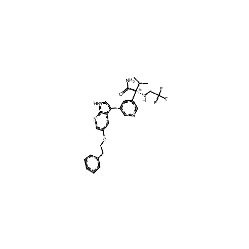 CC(C)[C@](NCC(F)(F)F)(C(N)=O)c1cncc(-c2c[nH]c3ncc(OCCc4ccccc4)cc23)c1